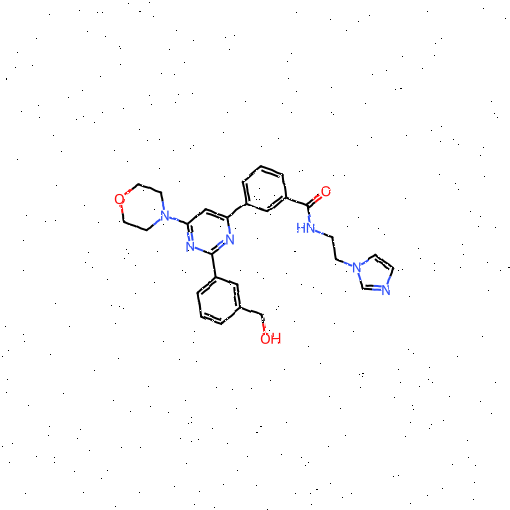 O=C(NCCn1ccnc1)c1cccc(-c2cc(N3CCOCC3)nc(-c3cccc(CO)c3)n2)c1